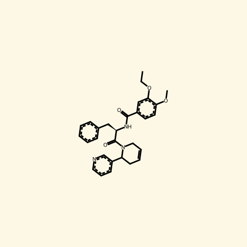 CCOc1cc(C(=O)N[C@H](Cc2ccccc2)C(=O)N2CC=CCC2c2cccnc2)ccc1OC